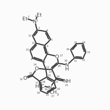 CCN(CC)c1ccc2c3c(ccc2c1)C1(OC(=O)c2ccccc21)C(C(=N)N(C)C)=C(Nc1ccccc1)O3